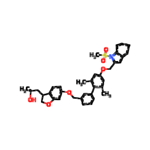 C=C(O)CC1COc2cc(OCc3cccc(-c4c(C)cc(OCc5cc6ccccc6n5S(C)(=O)=O)cc4C)c3)ccc21